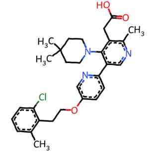 Cc1cccc(Cl)c1CCOc1ccc(-c2cnc(C)c(CC(=O)O)c2N2CCC(C)(C)CC2)nc1